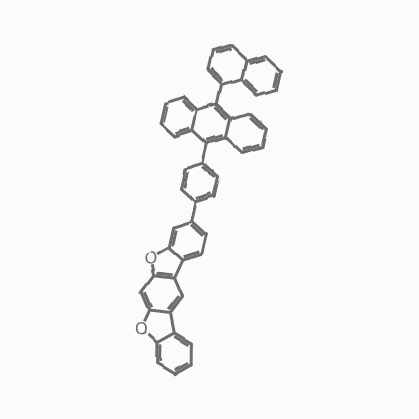 c1ccc2c(-c3c4ccccc4c(-c4ccc(-c5ccc6c(c5)oc5cc7oc8ccccc8c7cc56)cc4)c4ccccc34)cccc2c1